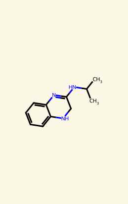 CC(C)NC1=Nc2ccccc2NC1